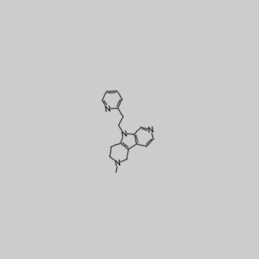 CN1CCc2c(c3ccncc3n2CCc2ccccn2)C1